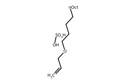 C=CCOCCCCCCCCCCCC.O=S(=O)(O)O